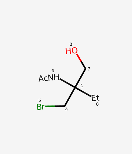 CCC(CO)(CBr)NC(C)=O